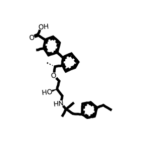 CCc1ccc(CC(C)(C)NC[C@@H](O)CO[C@H](C)c2ccccc2-c2ccc(C(=O)O)c(C)c2)cc1